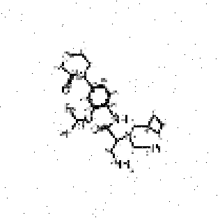 CC(C)CN(CC1CCC1)[C@@H](CN)C(=O)Nc1ccc(N2CCOCC2=O)cc1OC(F)F